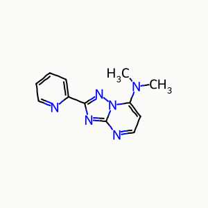 CN(C)c1ccnc2nc(-c3ccccn3)nn12